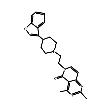 Cc1nc(C)c2c(=O)n(CCN3CCC(c4noc5ccccc45)CC3)ccc2n1